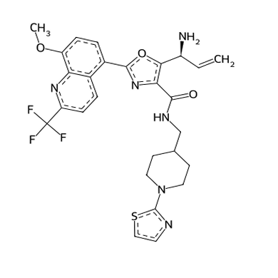 C=C[C@H](N)c1oc(-c2ccc(OC)c3nc(C(F)(F)F)ccc23)nc1C(=O)NCC1CCN(c2nccs2)CC1